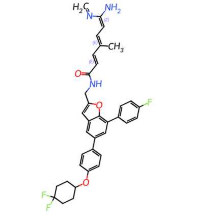 C=N\C(N)=C/C=C(C)/C=C/C(=O)NCc1cc2cc(-c3ccc(OC4CCC(F)(F)CC4)cc3)cc(-c3ccc(F)cc3)c2o1